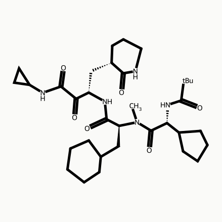 CN(C(=O)[C@H](NC(=O)C(C)(C)C)C1CCCC1)[C@@H](CC1CCCCC1)C(=O)N[C@@H](C[C@@H]1CCCNC1=O)C(=O)C(=O)NC1CC1